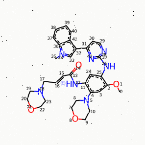 COc1cc(N2CCOCC2)c(NC(=O)/C=C/CN2CCOCC2)cc1Nc1nccc(-c2cn(C)c3ccccc23)n1